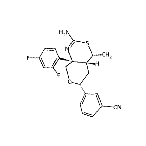 C[C@H]1SC(N)=N[C@@]2(c3ccc(F)cc3F)CO[C@@H](c3cccc(C#N)c3)C[C@@H]12